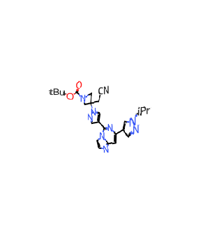 CC(C)n1cc(-c2cc3nccn3c(-c3cnn(C4(CC#N)CN(C(=O)OC(C)(C)C)C4)c3)n2)cn1